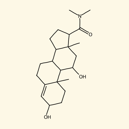 CN(C)C(=O)C1CCC2C3CCC4=CC(O)CCC4(C)C3C(O)CC12C